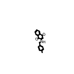 Cc1ccc(CNC2=CC(=O)c3ccccc3C2=O)cc1